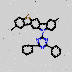 Cc1ccc2sc3cc4c5cc(C)ccc5n(-c5nc(-c6ccccc6)nc(-c6ccccc6)n5)c4cc3c2c1